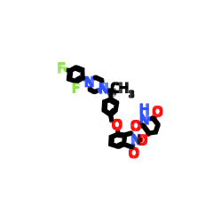 C[C@H](c1ccc(COc2cccc3c2CN(OC2CCC(=O)NC2=O)C3=O)cc1)N1CCN(c2ccc(F)cc2F)CC1